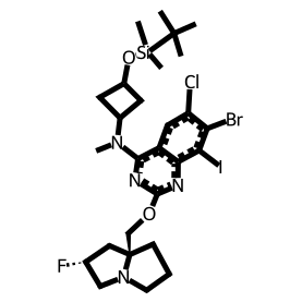 CN(c1nc(OC[C@@]23CCCN2C[C@H](F)C3)nc2c(I)c(Br)c(Cl)cc12)C1CC(O[Si](C)(C)C(C)(C)C)C1